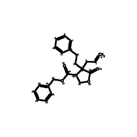 C=CCC1(CCc2ccccc2)C(=O)OCN1C(=O)OCc1ccccc1